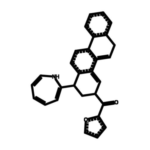 O=C(c1ccco1)C1C=c2c(ccc3c2=CCc2ccccc2-3)C(C2=CC=CC=CN2)C1